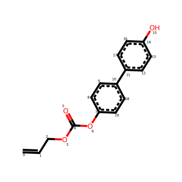 C=CCOC(=O)Oc1ccc(-c2ccc(O)cc2)cc1